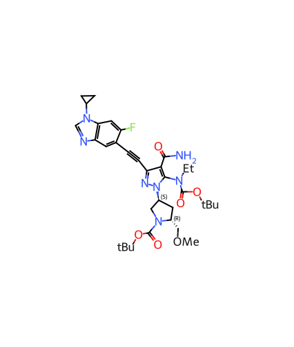 CCN(C(=O)OC(C)(C)C)c1c(C(N)=O)c(C#Cc2cc3ncn(C4CC4)c3cc2F)nn1[C@H]1C[C@H](COC)N(C(=O)OC(C)(C)C)C1